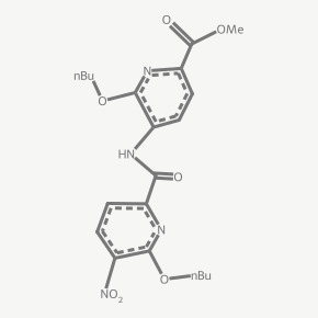 CCCCOc1nc(C(=O)OC)ccc1NC(=O)c1ccc([N+](=O)[O-])c(OCCCC)n1